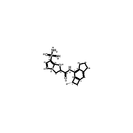 C[C@H]1Cc2cc3c(c(NC(=O)C4Cn5ncc(S(=N)(N)=O)c5O4)c21)CCC3